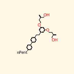 C=C(CO)CCOc1cc(CCc2ccc(-c3ccc(CCCCC)cc3)cc2)cc(OCCC(=C)CO)c1